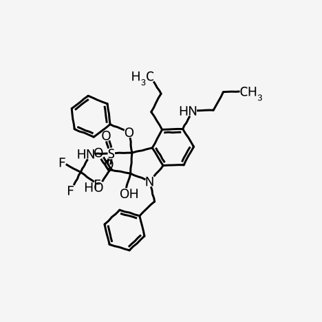 CCCNc1ccc2c(c1CCC)C(Oc1ccccc1)(S(=O)(=O)NC(F)(F)F)C(O)(C(=O)O)N2Cc1ccccc1